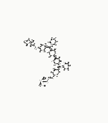 CCC1(CSCc2ccc(N(c3ccccc3)c3ccc(-c4ccc(N(c5ccccc5)c5ccc(CSCC6(CC)COC6)cc5)cc4)cc3)cc2)COC1